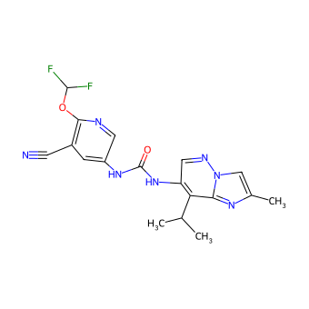 Cc1cn2ncc(NC(=O)Nc3cnc(OC(F)F)c(C#N)c3)c(C(C)C)c2n1